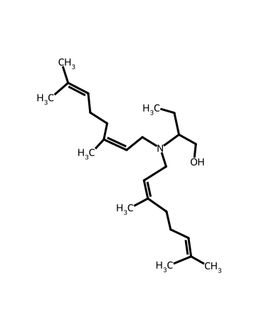 CCC(CO)N(CC=C(C)CCC=C(C)C)CC=C(C)CCC=C(C)C